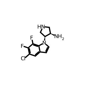 N[C@@H]1CNC[C@@H]1n1ccc2cc(Cl)c(F)c(F)c21